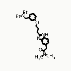 CCN(CC)Cc1cccc(OCCCc2nc3cc(CC(=O)N(C)C)ccc3[nH]2)c1